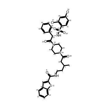 CC(CCNC(=O)c1cc2ccccc2s1)CC(=O)N1CCN(C(=O)[C@@H](NS(=O)(=O)c2ccc(Cl)cc2Cl)c2ccccc2)CC1